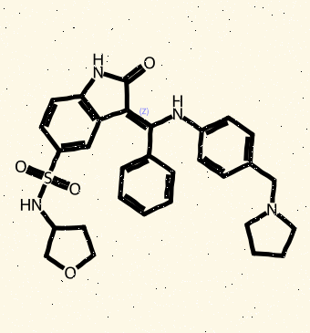 O=C1Nc2ccc(S(=O)(=O)NC3CCOC3)cc2/C1=C(/Nc1ccc(CN2CCCC2)cc1)c1ccccc1